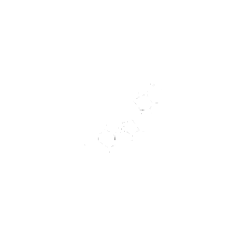 O=C(O)c1ccc(-n2cc(-c3ccc([N+](=O)[O-])cc3)cn2)cc1